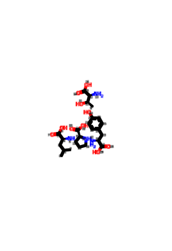 CC(C)C[C@H](N)C(=O)O.C[C@@H](O)[C@H](N)C(=O)O.N[C@@H](Cc1ccc(O)cc1)C(=O)O.O=C(O)[C@@H]1CCCN1